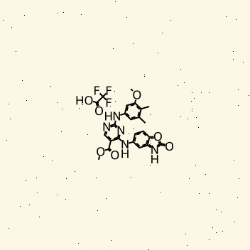 COC(=O)c1cnc(Nc2cc(C)c(C)c(OC)c2)nc1Nc1ccc2oc(=O)[nH]c2c1.O=C(O)C(F)(F)F